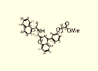 COC(=O)C(C)(C)Oc1cccc([C@@H]2C[C@H](CNC(C)c3cccc4ccccc34)Oc3ccccc32)c1